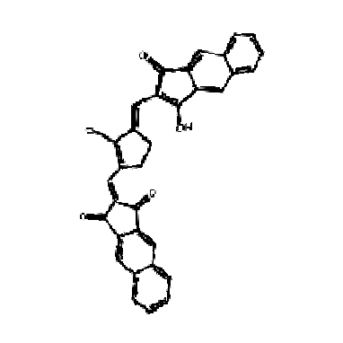 O=C1C(=CC2=C(Cl)/C(=C/C3=C(O)c4cc5ccccc5cc4C3=O)CC2)C(=O)c2cc3ccccc3cc21